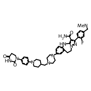 CNCc1ccc(-c2nn3c(c2C(N)=O)Nc2ccc(N4CCN(CC5CCN(c6ccc(N7CCC(=O)NC7=O)cc6)CC5)CC4)cc2CC3)c(F)c1